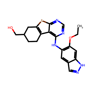 CCOc1cc2[nH]ncc2cc1Nc1ncnc2sc3c(c12)CCC(CO)C3